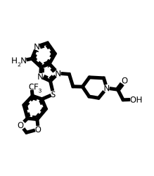 Nc1nccc2c1nc(Sc1cc3c(cc1C(F)(F)F)OCO3)n2CCC1CCN(C(=O)CO)CC1